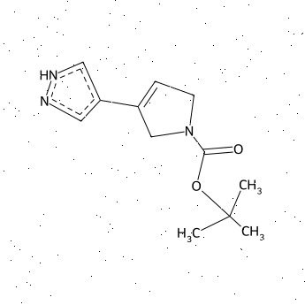 CC(C)(C)OC(=O)N1CC=C(c2cn[nH]c2)C1